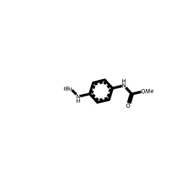 COC(=O)Nc1ccc(NC(C)(C)C)cc1